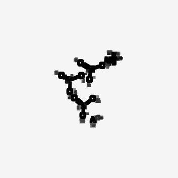 O=[Si]([O-])[O-].O=[Si]([O-])[O-].O=[Si]([O-])[O-].[Al+3].[K+].[Mg+2]